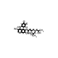 COc1cc2ncc(C#N)c(Nc3ccc(F)c(Cl)c3)c2cc1NC(=O)C=CCN(CC(C)O)CC(C)O